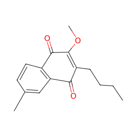 CCCCC1=C(OC)C(=O)c2ccc(C)cc2C1=O